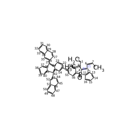 C=C[C@@H](C)/C(=C\C=C/C)P(=O)(c1ccccc1)c1ccc(-c2ccc3c(-c4ccc5ccccc5c4)c4ccccc4c(-c4ccc5ccccc5c4)c3c2)cc1